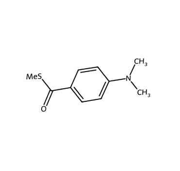 CSC(=O)c1ccc(N(C)C)cc1